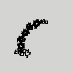 CCC(C)(C)c1ccc(-c2nnc(-c3ccc(-c4nnc(-c5ccc(C(C)(C)C)cc5)o4)cc3)o2)cc1